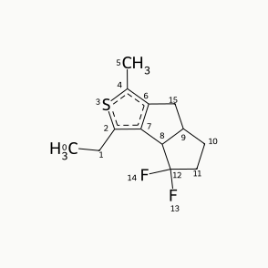 CCc1sc(C)c2c1C1C(CCC1(F)F)C2